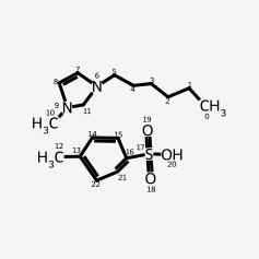 CCCCCCN1C=CN(C)C1.Cc1ccc(S(=O)(=O)O)cc1